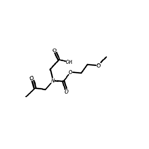 COCCOC(=O)N(CC(C)=O)CC(=O)O